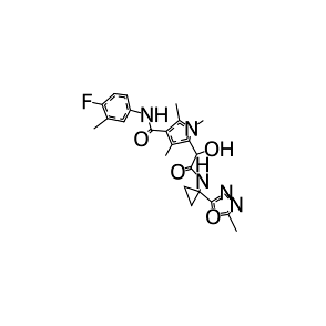 Cc1nnc(C2(NC(=O)C(O)c3c(C)c(C(=O)Nc4ccc(F)c(C)c4)c(C)n3C)CC2)o1